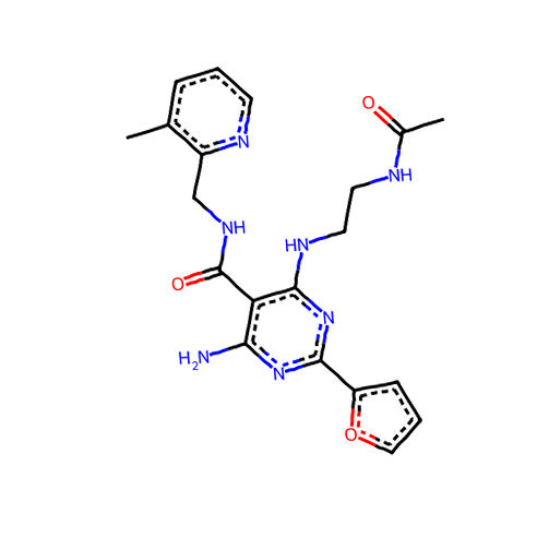 CC(=O)NCCNc1nc(-c2ccco2)nc(N)c1C(=O)NCc1ncccc1C